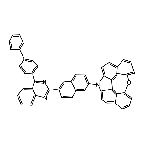 c1ccc(-c2ccc(-c3nc(-c4ccc5cc(-n6c7ccc8cccc9oc%10cccc%11ccc6c(c%11%10)c7c89)ccc5c4)nc4ccccc34)cc2)cc1